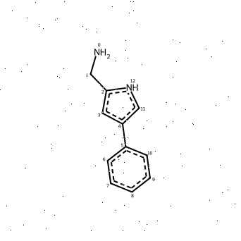 NCc1cc(-c2ccccc2)c[nH]1